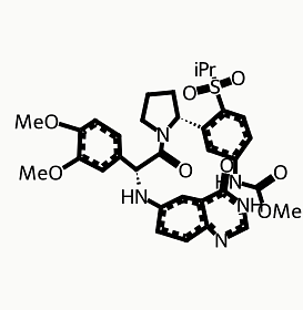 COC(=O)Nc1ccc(S(=O)(=O)C(C)C)c([C@H]2CCCN2C(=O)[C@H](Nc2ccc3nc[nH]c(=O)c3c2)c2ccc(OC)c(OC)c2)c1